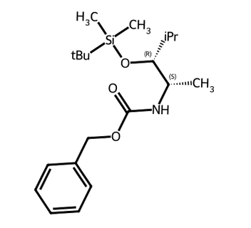 CC(C)[C@@H](O[Si](C)(C)C(C)(C)C)[C@H](C)NC(=O)OCc1ccccc1